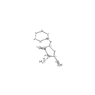 C#CC1CC(CN2CCCCC2)C(=O)N1C